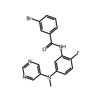 CN(c1cncnc1)c1ccc(F)c(NC(=O)c2cccc(Br)c2)c1